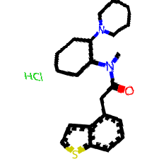 CN(C(=O)Cc1cccc2sccc12)C1CCCCC1N1CCCCC1.Cl